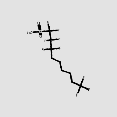 O=S(=O)(O)C(F)(F)C(F)(F)C(F)(F)CCCCCC(F)(F)F